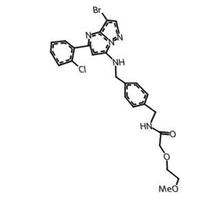 COCCOCC(=O)NCc1ccc(CNc2cc(-c3ccccc3Cl)nc3c(Br)cnn23)cc1